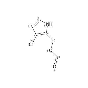 O=COCc1[nH]cnc1Cl